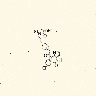 CCCC(C)(C)C(=O)N(CC)CCCC1CCN(CC(=O)N2c3ccc(Cl)cc3C(=O)Nc3cccnc32)CC1